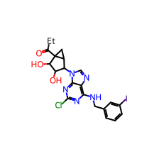 CCC(=O)C12CC1C(n1cnc3c(NCc4cccc(I)c4)nc(Cl)nc31)C(O)C2O